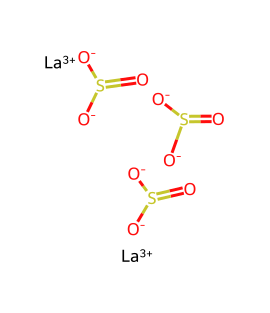 O=S([O-])[O-].O=S([O-])[O-].O=S([O-])[O-].[La+3].[La+3]